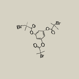 CC(C)(Br)C(=O)Oc1cc(OC(=O)C(C)(C)Br)cc(OC(=O)C(C)(C)Br)c1